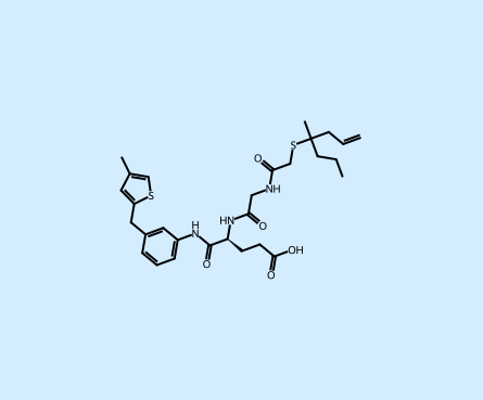 C=CCC(C)(CCC)SCC(=O)NCC(=O)N[C@@H](CCC(=O)O)C(=O)Nc1cccc(Cc2cc(C)cs2)c1